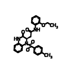 CCOc1ccccc1NC(=O)C[C@@H]1C(=O)Nc2ccccc2N1S(=O)(=O)c1ccc(C)cc1